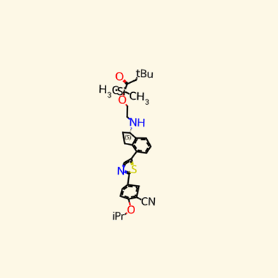 CC(C)Oc1ccc(-c2ncc(-c3cccc4c3CC[C@@H]4NCCO[Si](C)(C)C(=O)CC(C)(C)C)s2)cc1C#N